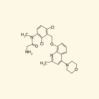 Cc1cc(N2CCOCC2)c2cccc(OCc3c(Cl)ccc(N(C)C(=O)CN)c3Cl)c2n1